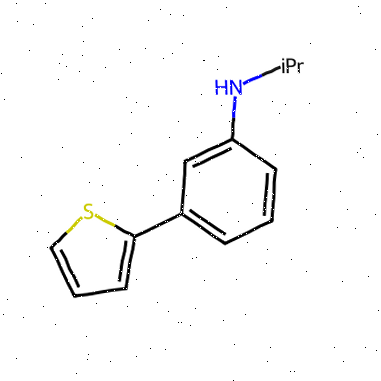 CC(C)Nc1cccc(-c2cccs2)c1